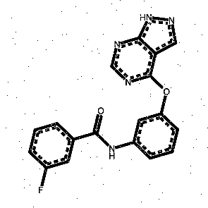 O=C(Nc1cccc(Oc2ncnc3[nH]ncc23)c1)c1cccc(F)c1